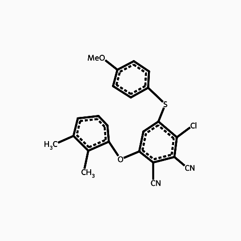 COc1ccc(Sc2cc(Oc3cccc(C)c3C)c(C#N)c(C#N)c2Cl)cc1